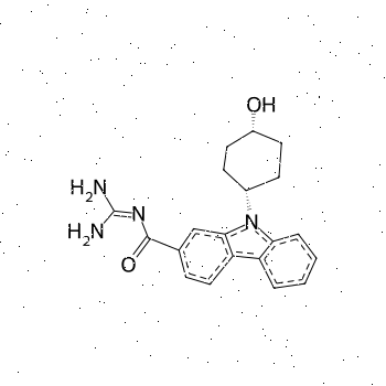 NC(N)=NC(=O)c1ccc2c3ccccc3n([C@H]3CC[C@@H](O)CC3)c2c1